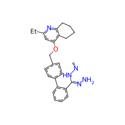 C=NN/C(=N\N)c1ccccc1-c1ccc(COc2cc(CC)nc3c2CCCC3)cc1